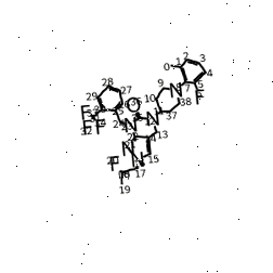 Cc1cccc(F)c1N1CCC(N2Cc3cn(C[C@@H](C)F)nc3N(Cc3ccccc3C(F)(F)F)C2=O)CC1